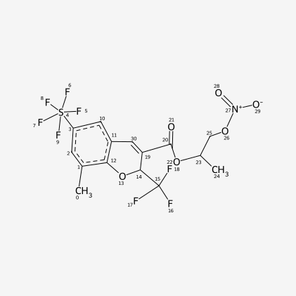 Cc1cc(S(F)(F)(F)(F)F)cc2c1OC(C(F)(F)F)C(C(=O)OC(C)CO[N+](=O)[O-])=C2